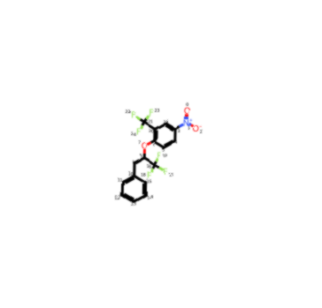 O=[N+]([O-])c1ccc(OC(Cc2ccccc2)C(F)(F)F)c(C(F)(F)F)c1